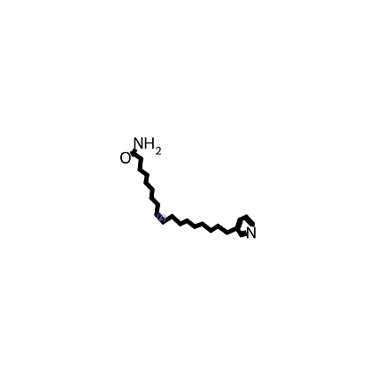 NC(=O)CCCCCCC/C=C\CCCCCCCCc1cccnc1